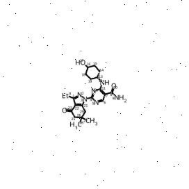 CCc1nn(-c2ncc(C(N)=O)c(NC3CCC(O)CC3)n2)c2c1C(=O)CC(C)(C)C2